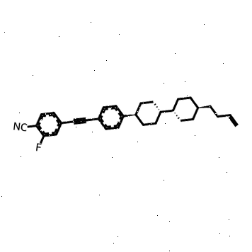 C=CCC[C@H]1CC[C@H]([C@H]2CC[C@H](c3ccc(C#Cc4ccc(C#N)c(F)c4)cc3)CC2)CC1